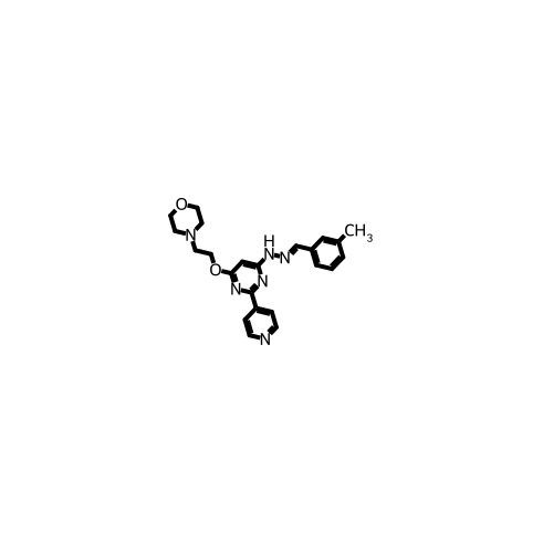 Cc1cccc(/C=N/Nc2cc(OCCN3CCOCC3)nc(-c3ccncc3)n2)c1